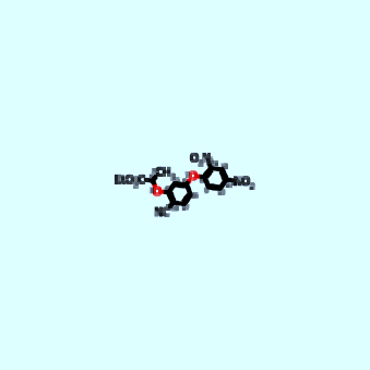 CCOC(=O)C(C)Oc1cc(Oc2ccc([N+](=O)[O-])cc2[N+](=O)[O-])ccc1C#N